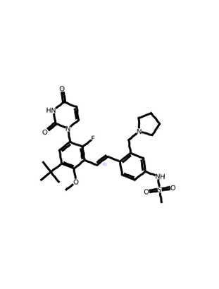 COc1c(C(C)(C)C)cc(-n2ccc(=O)[nH]c2=O)c(F)c1/C=C/c1ccc(NS(C)(=O)=O)cc1CN1CCCC1